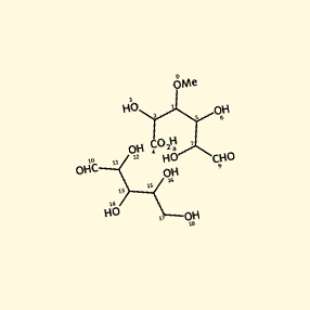 COC(C(O)C(=O)O)C(O)C(O)C=O.O=CC(O)C(O)C(O)CO